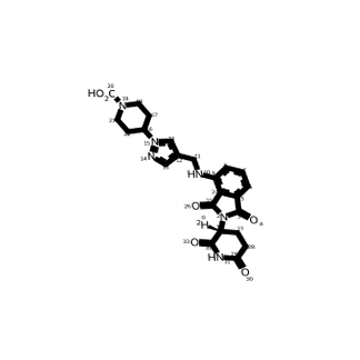 [2H][C@@]1(N2C(=O)c3cccc(NCc4cnn(C5CCN(C(=O)O)CC5)c4)c3C2=O)CCC(=O)NC1=O